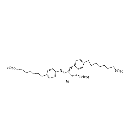 CCCCCCCC=CC(C=Nc1ccc(CCCCCCCCCCCCCCCCC)cc1)=Nc1ccc(CCCCCCCCCCCCCCCCC)cc1.[Ni]